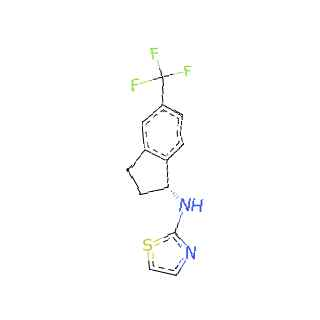 FC(F)(F)c1ccc2c(c1)CC[C@H]2Nc1nccs1